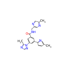 Cc1ccc(-c2cc(C(=O)NCc3cnc(C)cn3)cc(-n3ncnc3C)c2)nc1